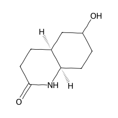 O=C1CC[C@H]2CC(O)CC[C@H]2N1